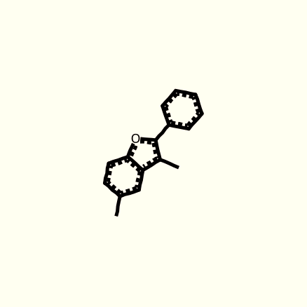 Cc1ccc2oc(-c3ccccc3)c(C)c2c1